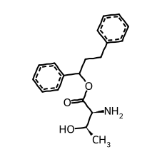 C[C@@H](O)[C@H](N)C(=O)OC(CCc1ccccc1)c1ccccc1